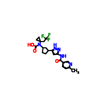 Cc1ccc(C(=O)Nc2cc(C3CCC(N(C(=O)O)C4(CC(F)(F)F)CC4)C3)[nH]n2)cn1